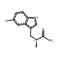 C[C@@H](Cc1c[nH]c2ccc(F)cc12)C(N)=O